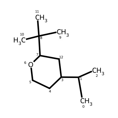 CC(C)C1CCOC(C(C)(C)C)C1